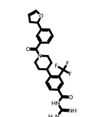 N=C(N)NC(=O)c1ccc(C2CCN(C(=O)c3cccc(C4CC=CO4)c3)CC2)c(C(F)(F)F)c1